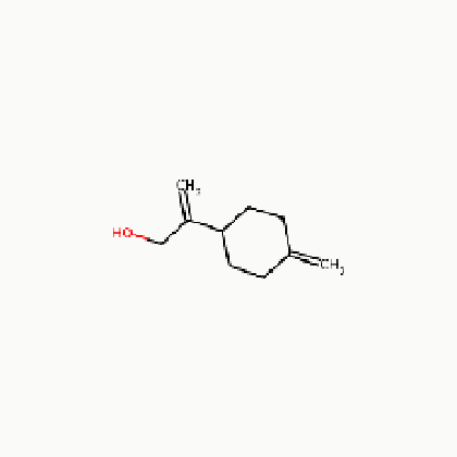 C=C1CCC(C(=C)CO)CC1